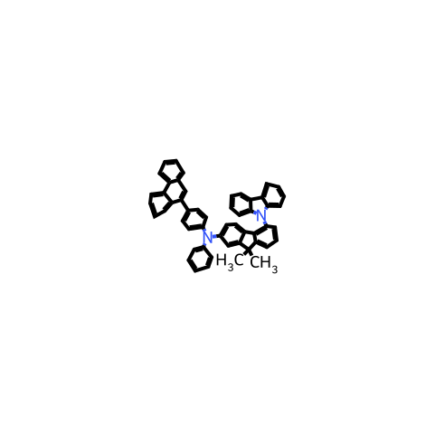 CC1(C)c2cc(N(c3ccccc3)c3ccc(-c4cc5ccccc5c5ccccc45)cc3)ccc2-c2c(-n3c4ccccc4c4ccccc43)cccc21